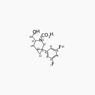 O=C(O)N1CC2(c3cc(F)cc(F)c3)CC2CC1CO